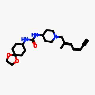 C#C/C=C\C=C(/C)CN1CCC(NC(=O)NC2CCC3(CC2)OCCO3)CC1